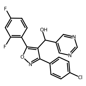 OC(c1cncnc1)c1c(-c2ccc(Cl)cc2)noc1-c1ccc(F)cc1F